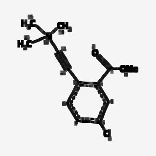 COC(=O)c1cc(Cl)ccc1C#C[Si](C)(C)C